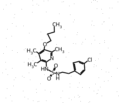 CCCCOc1c(C)nc(NS(=O)(=O)NCCc2ccc(Cl)cc2)c(C)c1C